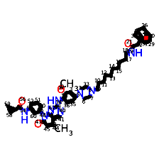 COc1cc(N2CCN(CCCCCCCCCCNC(=O)CC34CC5CC(CC(C5)C3)C4)CC2)ccc1Nc1ncc2c(C)cc(=O)n(-c3cccc(NC(=O)C4CC4)c3)c2n1